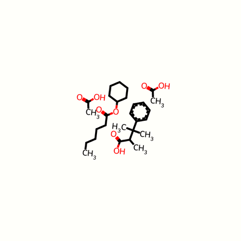 CC(=O)O.CC(=O)O.CC(C(=O)O)C(C)(C)c1ccccc1.CCCCCC(=O)OC1CCCCC1